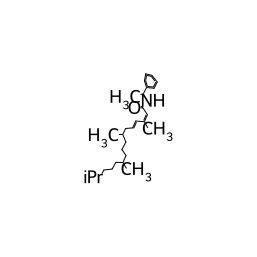 CC(C=CCC(C)CCCC(C)CCCC(C)C)=CC(=O)NC(C)c1ccccc1